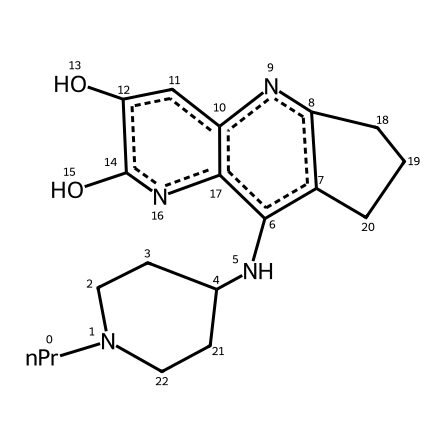 CCCN1CCC(Nc2c3c(nc4cc(O)c(O)nc24)CCC3)CC1